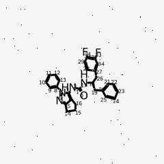 O=C(Nc1c2c(nn1-c1ccccc1)CCC2)NC(Cc1ccccc1)Cc1ccc(F)c(F)c1